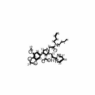 CCCCN(CCCC)C(=O)CN1C[C@H](c2cc(OC)c3c(c2)OCO3)[C@@H](C(=O)O)[C@@H]1CCc1ncccn1